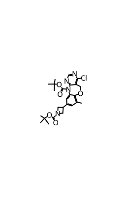 Cc1cc(C2CN(C(=O)OC(C)(C)C)C2)cc2c1OCc1c(Cl)ncnc1N2C(=O)OC(C)(C)C